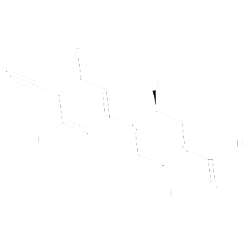 C[C@@H]1CN(c2cc(F)c(C#N)c(F)c2)[C@@H](C)CN1C(=O)O